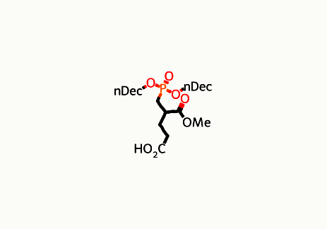 CCCCCCCCCCOP(=O)(CC(CCC(=O)O)C(=O)OC)OCCCCCCCCCC